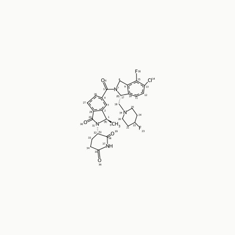 C[C@@H]1c2cc(C(=O)N3Cc4c(ccc(Cl)c4F)[C@@H]3CN3CCC(F)CC3)ccc2C(=O)N1[C@H]1CCC(=O)NC1=O